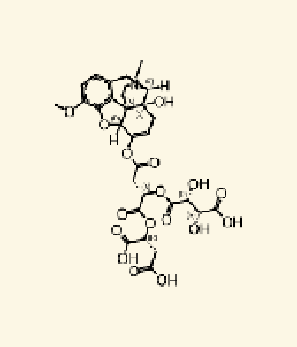 COc1ccc2c3c1O[C@H]1C(OC(=O)C[C@H](OC(=O)[C@H](O)[C@@H](O)C(=O)O)C(=O)O[C@H](CC(=O)O)C(=O)O)=CC[C@@]4(O)[C@@H](C2)N(C)CC[C@]314